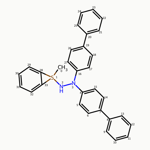 CS1(NN(c2ccc(-c3ccccc3)cc2)c2ccc(-c3ccccc3)cc2)c2ccccc21